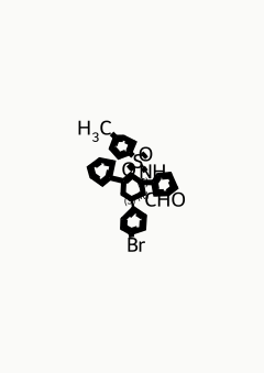 Cc1ccc(S(=O)(=O)N[C@@]2(c3ccccc3)C=C(c3ccccc3)C[C@H](c3ccc(Br)cc3)[C@H]2C=O)cc1